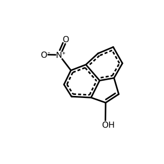 O=[N+]([O-])c1ccc2c3c(cccc13)C=C2O